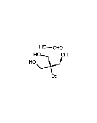 CCC(CO)(CO)CO.O=CO